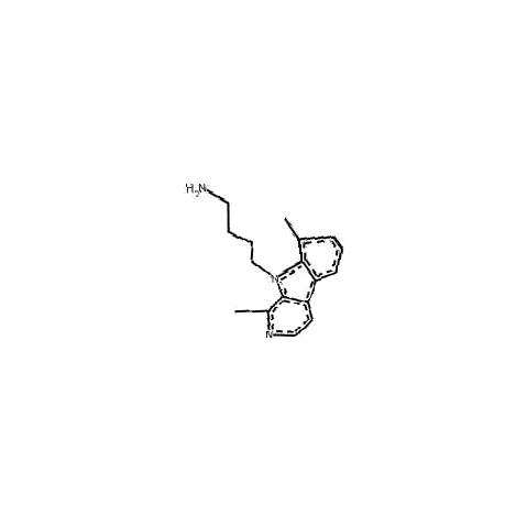 Cc1cccc2c3ccnc(C)c3n(CCCCN)c12